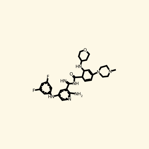 CN1CCN(C2=CC(NC3CCOCC3)C(C(=O)NC(=N)c3cc(Nc4cc(F)cc(F)c4)cnc3N)C=C2)CC1